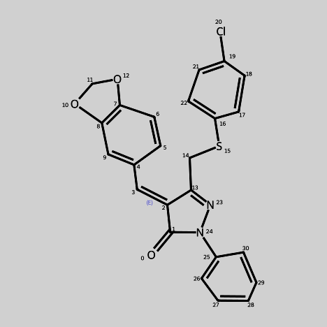 O=C1/C(=C/c2ccc3c(c2)OCO3)C(CSc2ccc(Cl)cc2)=NN1c1ccccc1